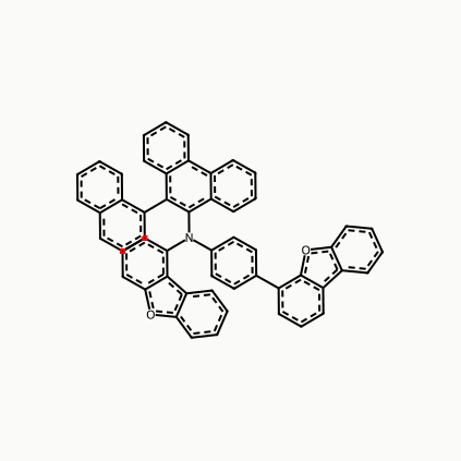 c1ccc2c(-c3c(N(c4ccc(-c5cccc6c5oc5ccccc56)cc4)c4cccc5oc6ccccc6c45)c4ccccc4c4ccccc34)cccc2c1